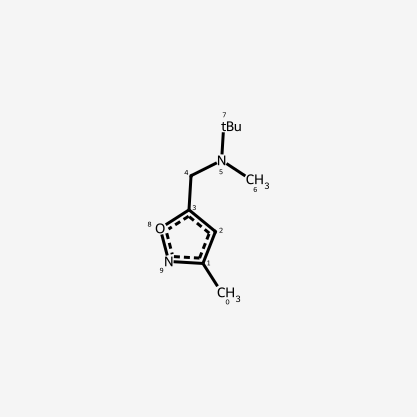 Cc1cc(CN(C)C(C)(C)C)on1